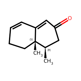 C[C@@H]1CC(=O)C=C2C=CCC[C@]21C